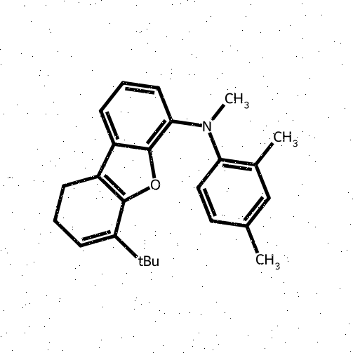 Cc1ccc(N(C)c2cccc3c4c(oc23)C(C(C)(C)C)=CCC4)c(C)c1